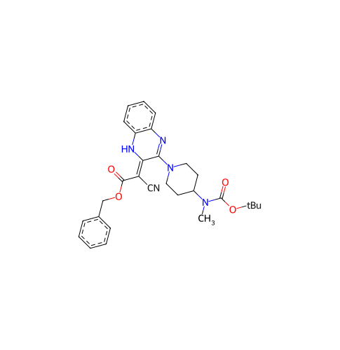 CN(C(=O)OC(C)(C)C)C1CCN(C2=Nc3ccccc3N/C2=C(/C#N)C(=O)OCc2ccccc2)CC1